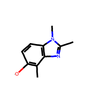 Cc1c([O])ccc2c1nc(C)n2C